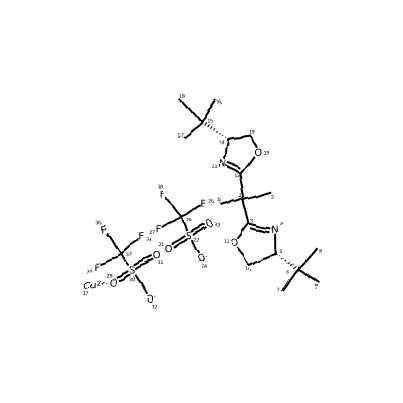 CC(C)(C1=N[C@H](C(C)(C)C)CO1)C1=N[C@H](C(C)(C)C)CO1.O=S(=O)([O-])C(F)(F)F.O=S(=O)([O-])C(F)(F)F.[Cu+2]